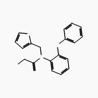 O=C(CF)N(Cc1ccc[nH]1)c1ccccc1Oc1ccccc1